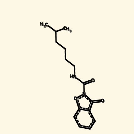 CC(C)CCCCNC(=O)n1oc2ccccc2c1=O